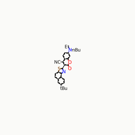 CCCCN(CC)c1ccc2c(C#N)c(-c3nc4c(ccc5cc(C(C)(C)C)ccc54)s3)c(=O)oc2c1